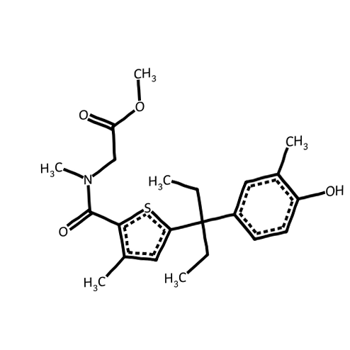 CCC(CC)(c1ccc(O)c(C)c1)c1cc(C)c(C(=O)N(C)CC(=O)OC)s1